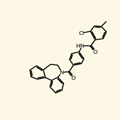 Cc1ccc(C(=O)Nc2ccc(C(=O)N3CCc4ccccc4-c4ccccc43)cc2)c(Cl)c1